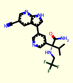 CC(C)[C@](NCC(F)(F)F)(C(N)=O)c1cncc(-c2c[nH]c3ncc(C#N)cc23)c1